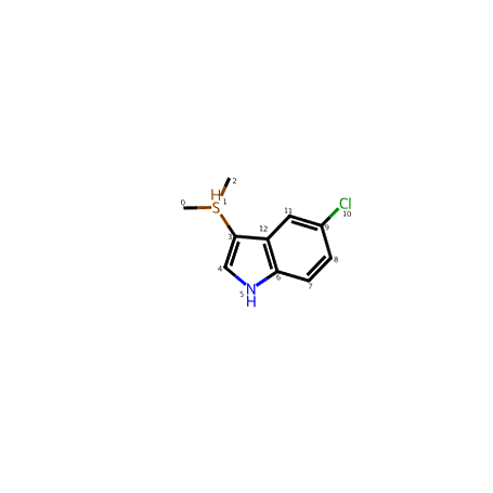 C[SH](C)c1c[nH]c2ccc(Cl)cc12